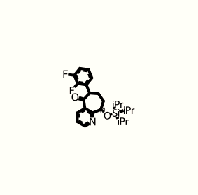 CC(C)[Si](O[C@@H]1CCC(c2cccc(F)c2F)C(=O)c2cccnc21)(C(C)C)C(C)C